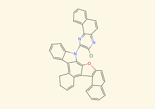 Clc1nc2ccc3ccccc3c2nc1-n1c2ccccc2c2c3c(c4c(oc5ccc6ccccc6c54)c21)C=CCC3